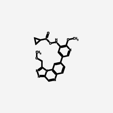 COCc1nnc2cnc3ccc(-c4cnc(OC)c(NOS(=O)C5CC5)c4)cc3n12